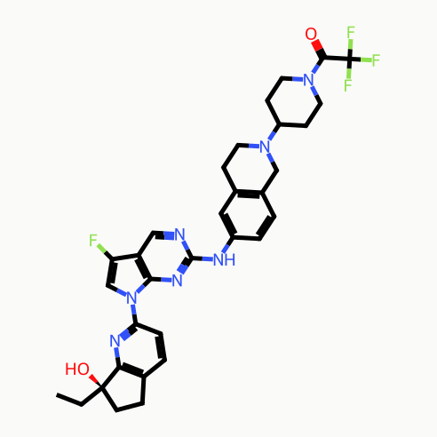 CC[C@@]1(O)CCc2ccc(-n3cc(F)c4cnc(Nc5ccc6c(c5)CCN(C5CCN(C(=O)C(F)(F)F)CC5)C6)nc43)nc21